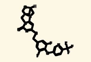 O=c1nc(OCc2cc(F)c(Oc3ccc(C(F)(F)F)nc3)c(F)c2)cc2n1C[C@]13CO[C@H](CN21)C3